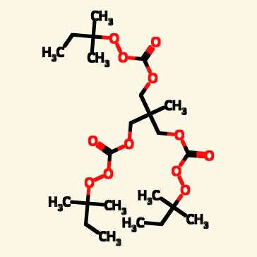 CCC(C)(C)OOC(=O)OCC(C)(COC(=O)OOC(C)(C)CC)COC(=O)OOC(C)(C)CC